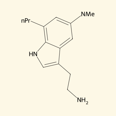 CCCc1cc(NC)cc2c(CCN)c[nH]c12